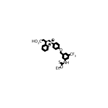 CCOC(=S)Nc1cc(COc2ccc(S(=O)(=O)C[C@H](CC(=O)O)c3ccccc3)cc2)cc(C(F)(F)F)c1